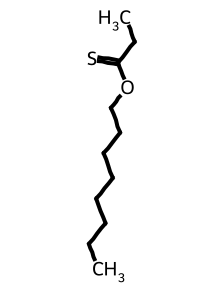 CCCCCCCCOC(=S)CC